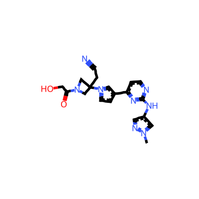 Cn1cc(Nc2nccc(-c3ccn(C4(CC#N)CN(C(=O)CO)C4)c3)n2)cn1